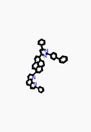 c1ccc(-c2ccc(-c3nc(-c4ccccc4)cc(-c4ccc5ccc6c(-c7ccc8ccc9ccc(-c%10ccccc%10)nc9c8n7)ccc7ccc4c5c76)n3)cc2)cc1